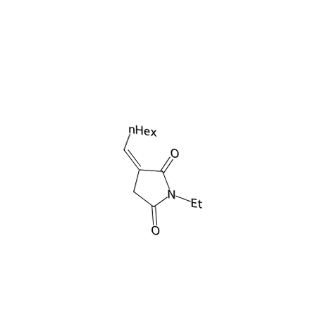 CCCCCCC=C1CC(=O)N(CC)C1=O